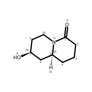 O=C1CCC[C@H]2C[C@@H](O)CCN12